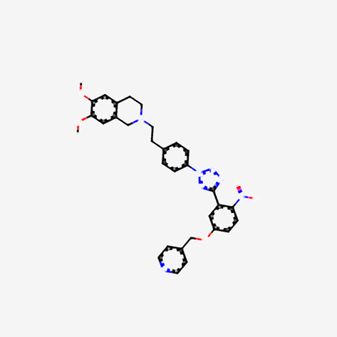 COc1cc2c(cc1OC)CN(CCc1ccc(-n3nnc(-c4cc(OCc5ccncc5)ccc4[N+](=O)[O-])n3)cc1)CC2